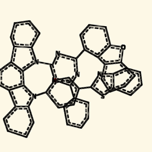 c1ccc(-c2nc(-c3cccc4oc5ccccc5c34)nc(-n3c4ccccc4c4ccc5c6ccccc6n(-c6ccc(-c7nc8ccccc8s7)cc6)c5c43)n2)cc1